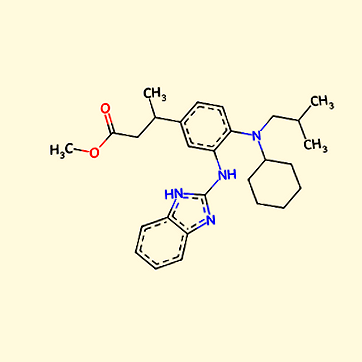 COC(=O)CC(C)c1ccc(N(CC(C)C)C2CCCCC2)c(Nc2nc3ccccc3[nH]2)c1